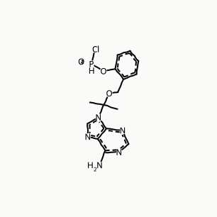 CC(C)(OCc1ccccc1O[PH](=O)Cl)n1cnc2c(N)ncnc21